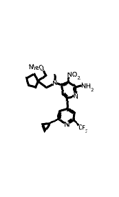 COCC1(CN(C)c2cc(-c3cc(C4CC4)nc(C(F)(F)F)c3)nc(N)c2[N+](=O)[O-])CCCC1